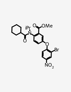 COC(=O)c1cc(Oc2ccc([N+](=O)[O-])cc2Br)ccc1N(C(=O)C1CCCCC1)C(C)C